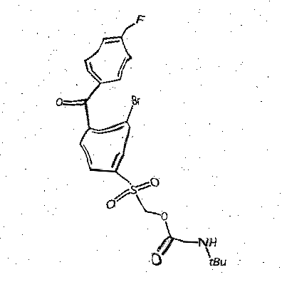 CC(C)(C)NC(=O)OCS(=O)(=O)c1ccc(C(=O)c2ccc(F)cc2)c(Br)c1